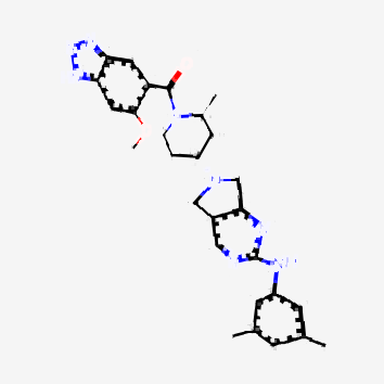 COc1cc2[nH]nnc2cc1C(=O)N1CC[C@@H](N2Cc3cnc(Nc4cc(C)cc(C)c4)nc3C2)C[C@@H]1C